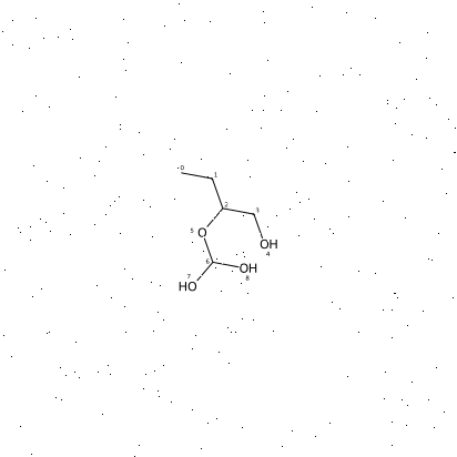 CCC(CO)OC(O)O